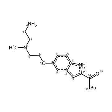 CN(CCN)CCOc1ccc2[nH]c(C(=O)C(C)(C)C)cc2c1